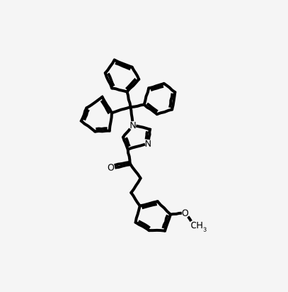 COc1cccc(CCC(=O)c2cn(C(c3ccccc3)(c3ccccc3)c3ccccc3)cn2)c1